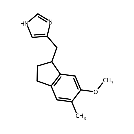 COc1cc2c(cc1C)CCC2Cc1c[nH]cn1